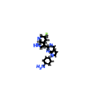 N[C@H]1CC[C@@H](n2ccc3cnc(-c4c[nH]c5ncc(F)cc45)nc32)CC1